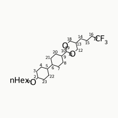 CCCCCCOC1CCC(C2CCC(C3OCC(CCCC(F)(F)F)CO3)CC2)CC1